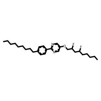 CCCCCCCCCc1ccc(-c2ncc(OCC(F)CC(F)CCCCC)cn2)cc1